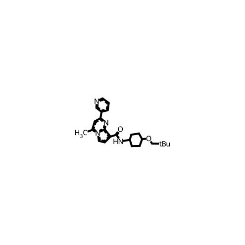 Cc1cc(-c2cccnc2)nc2c(C(=O)NC3CCC(OCC(C)(C)C)CC3)ccn12